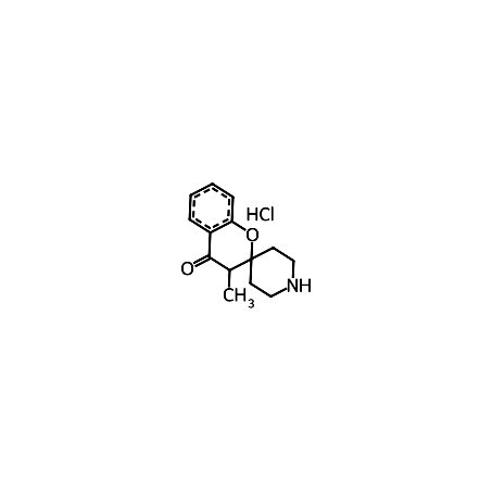 CC1C(=O)c2ccccc2OC12CCNCC2.Cl